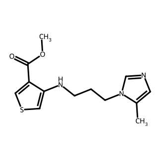 COC(=O)c1cscc1NCCCn1cncc1C